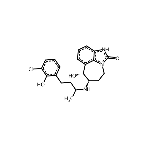 CC(CCc1cccc(Cl)c1O)N[C@@H]1CCn2c(=O)[nH]c3cccc(c32)[C@H]1O